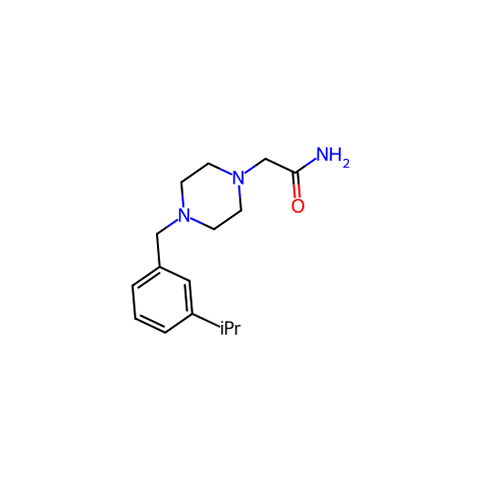 CC(C)c1cccc(CN2CCN(CC(N)=O)CC2)c1